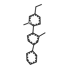 CCc1ccc(-c2ccc(-c3ccccc3)cc2C)[n+](C)c1